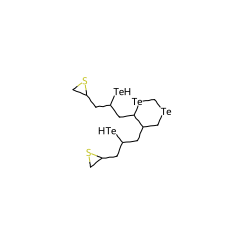 [TeH]C(CC1CS1)CC1C[Te]C[Te]C1CC([TeH])CC1CS1